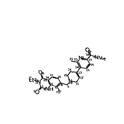 CCn1c(=O)[nH]c2c(F)c(CN3CC=C(c4ccc(C(=O)NC)nc4C)CC3)ccc2c1=O